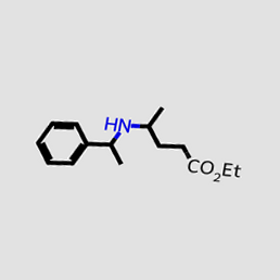 CCOC(=O)CCC(C)NC(C)c1ccccc1